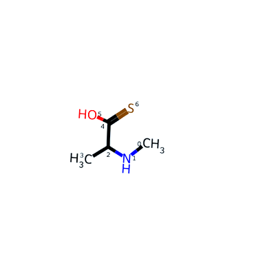 CNC(C)C(O)=S